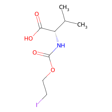 CC(C)[C@H](NC(=O)OCCI)C(=O)O